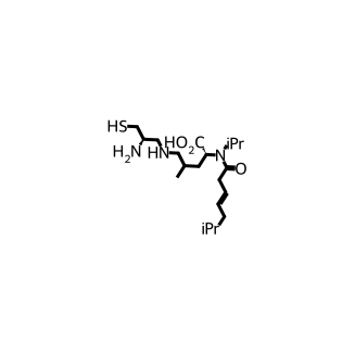 CC(C)C/C=C/CC(=O)N(C(C)C)[C@H](CC(C)CNC[C@@H](N)CS)C(=O)O